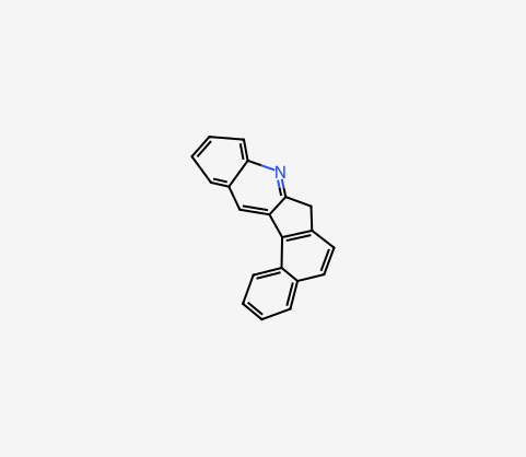 c1ccc2nc3c(cc2c1)-c1c(ccc2ccccc12)C3